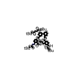 CC(C)(C)OC(=O)/C=C/c1ccc(OCc2ccccc2)c(OCCCc2cc(NC(=O)OC(C)(C)C)ccc2C(=O)OCc2ccccc2)c1C(N)=O.CC(C)(C)OC(=O)CCC(=O)OC(C)(C)C